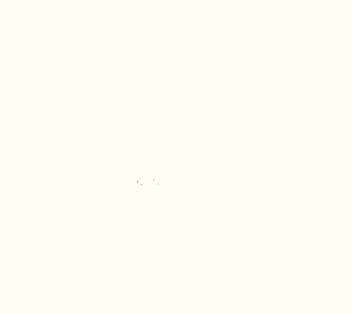 Fc1cccc(C#Cc2ccc(Cl)nn2)c1